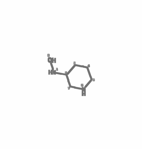 ONC1CCCNC1